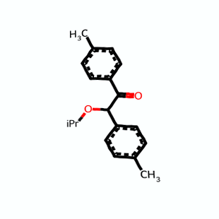 Cc1ccc(C(=O)C(OC(C)C)c2ccc(C)cc2)cc1